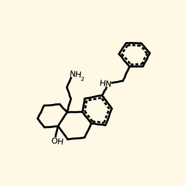 NCCC12CCCCC1(O)CCc1ccc(NCc3ccccc3)cc12